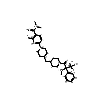 CNC(C(=O)N1CCC(CC2CCN(c3ccc(C(=O)N(C)C)c(Cl)n3)CC2)CC1)(c1ccccc1)C(F)(F)F